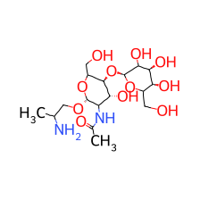 CC(=O)NC1[C@H](OCC(C)N)OC(CO)[C@@H](O[C@@H]2OC(CO)[C@H](O)[C@H](O)C2O)[C@@H]1O